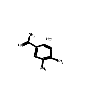 Cl.N=C(N)c1ccc(N)c(N)c1